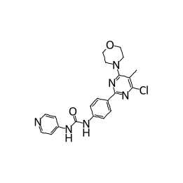 Cc1c(Cl)nc(-c2ccc(NC(=O)Nc3ccncc3)cc2)nc1N1CCOCC1